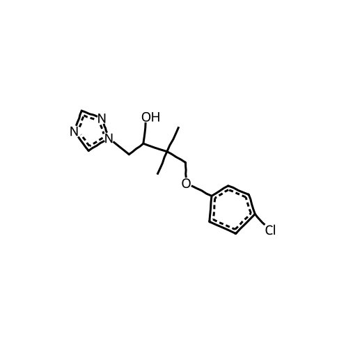 CC(C)(COc1ccc(Cl)cc1)C(O)Cn1cncn1